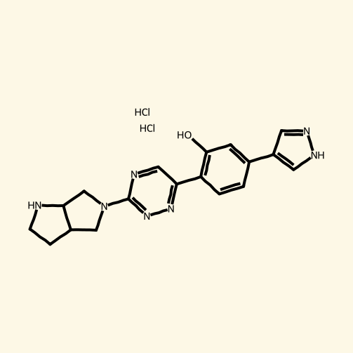 Cl.Cl.Oc1cc(-c2cn[nH]c2)ccc1-c1cnc(N2CC3CCNC3C2)nn1